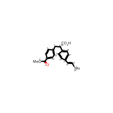 COC(=O)c1ccc(C[C@H](C(=O)O)c2ccc(/C=C/C(C)(C)C)cc2)cc1